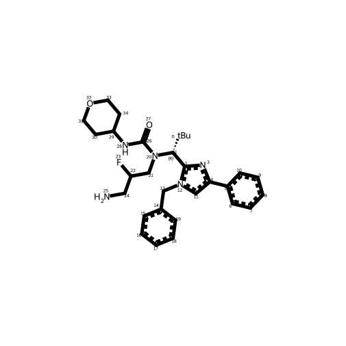 CC(C)(C)[C@H](c1nc(-c2ccccc2)cn1Cc1ccccc1)N(CC(F)CN)C(=O)NC1CCOCC1